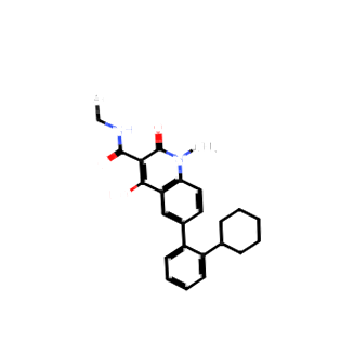 CC(=O)CNC(=O)c1c(O)c2cc(-c3ccccc3C3CCCCC3)ccc2n(C)c1=O